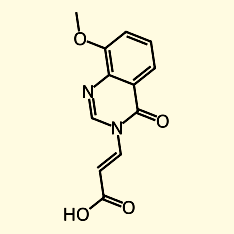 COc1cccc2c(=O)n(/C=C/C(=O)O)cnc12